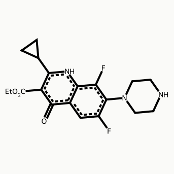 CCOC(=O)c1c(C2CC2)[nH]c2c(F)c(N3CCNCC3)c(F)cc2c1=O